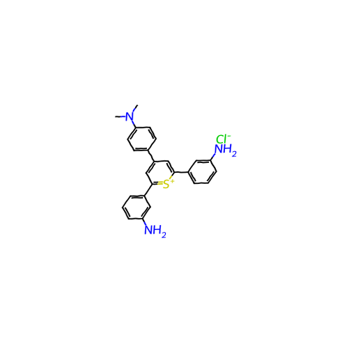 CN(C)c1ccc(-c2cc(-c3cccc(N)c3)[s+]c(-c3cccc(N)c3)c2)cc1.[Cl-]